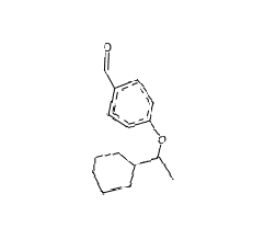 CC(Oc1ccc(C=O)cc1)C1CCCCC1